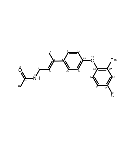 CC(=O)NCC=C(C)c1ccc(Oc2ccc(F)cc2F)cc1